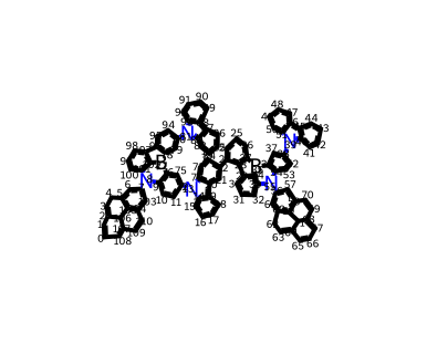 C1=CC2=CCc3cc(N4c5ccc(-n6c7ccccc7c7cc(-c8cccc9c8-c8cccc%10c8B9c8cc(-n9c%11ccccc%11c%11ccccc%119)ccc8N%10c8cc9c%10c(c8)CC=C8C=CC=C(C=C9)C8%10)ccc76)cc5B5c6cc(-n7c8ccccc8c8ccccc87)ccc6-c6cccc4c65)cc4c3C2C(=C1)C=C4